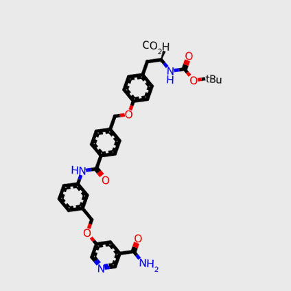 CC(C)(C)OC(=O)N[C@@H](Cc1ccc(OCc2ccc(C(=O)Nc3cccc(COc4cncc(C(N)=O)c4)c3)cc2)cc1)C(=O)O